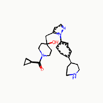 O=C(C1CC1)N1CCC(O)(Cc2ccnn2-c2ccc(C3CCNCC3)cc2)CC1